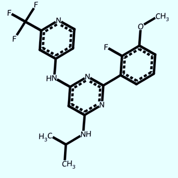 COc1cccc(-c2nc(Nc3ccnc(C(F)(F)F)c3)cc(NC(C)C)n2)c1F